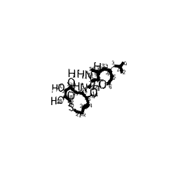 CC(C)C[C@@H]1CCO[C@@H]2[C@H](CN[C@@H]2C(=O)N[C@H]2C3OC(SCC/C=C/[C@@H]2C)C(O)C(O)C3O)C1